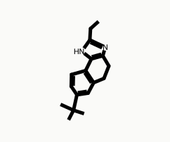 CCc1nc2c([nH]1)-c1ccc(C(C)(C)C)cc1CC2